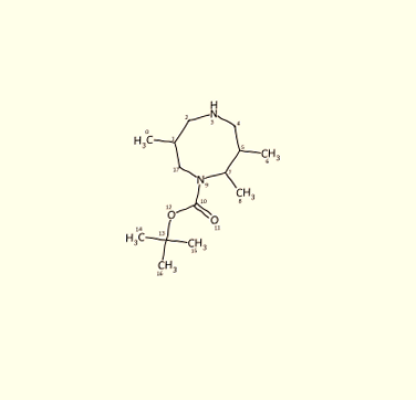 CC1CNCC(C)C(C)N(C(=O)OC(C)(C)C)C1